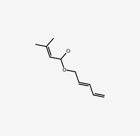 C=CC=CCOC([O])C=C(C)C